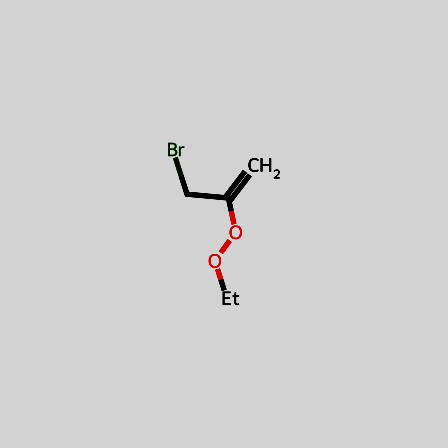 C=C(CBr)OOCC